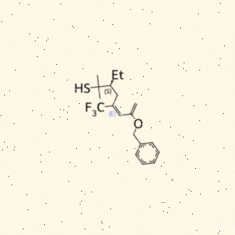 C=C(/C=C(\C[C@H](CC)C(C)(C)S)C(F)(F)F)OCc1ccccc1